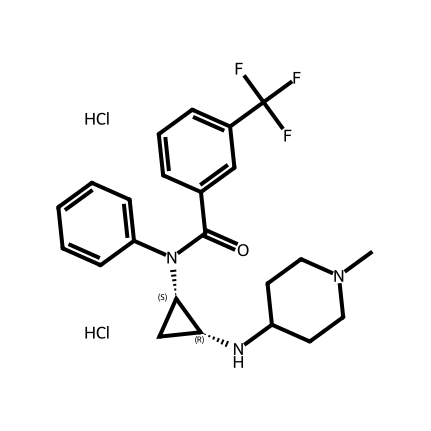 CN1CCC(N[C@@H]2C[C@@H]2N(C(=O)c2cccc(C(F)(F)F)c2)c2ccccc2)CC1.Cl.Cl